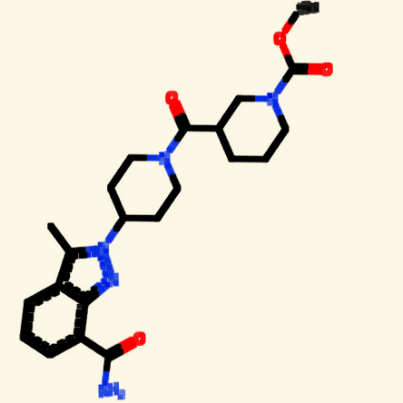 Cc1c2cccc(C(N)=O)c2nn1C1CCN(C(=O)C2CCCN(C(=O)OC(C)(C)C)C2)CC1